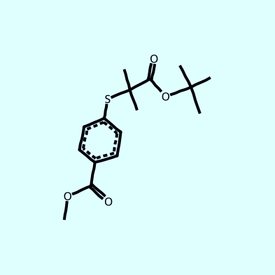 COC(=O)c1ccc(SC(C)(C)C(=O)OC(C)(C)C)cc1